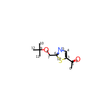 CC(=O)c1cnc(COC(C)(C)C)s1